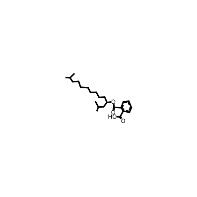 CC(C)CCCCCCCCC(CC(C)C)OC(=O)c1ccccc1C(=O)O